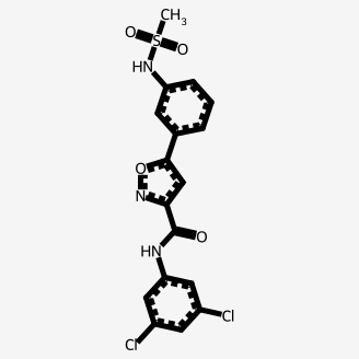 CS(=O)(=O)Nc1cccc(-c2cc(C(=O)Nc3cc(Cl)cc(Cl)c3)no2)c1